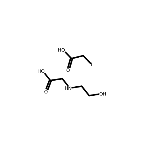 O=C(O)CI.O=C(O)CNCCO